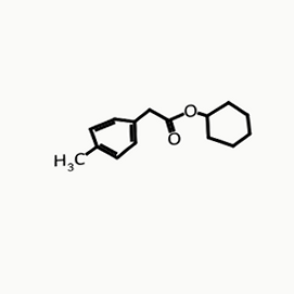 Cc1ccc(CC(=O)OC2CCCCC2)cc1